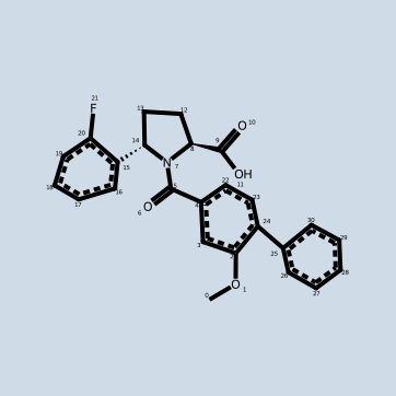 COc1cc(C(=O)N2[C@H](C(=O)O)CC[C@H]2c2ccccc2F)ccc1-c1ccccc1